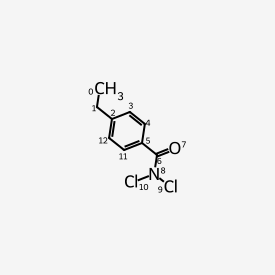 CCc1ccc(C(=O)N(Cl)Cl)cc1